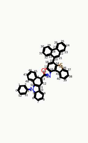 c1ccc(-n2c3ccccc3c3cc(-c4nc5c(cc(-c6cc7ccccc7c7ccccc67)c6sc7ccccc7c65)o4)c4ccccc4c32)cc1